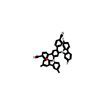 Cc1ccc2c(c1)c1cc(C)ccc1n2-c1cc(-n2c3cc(F)ccc3c3ccc(F)cc32)c(-c2ccc(C#N)cc2)cc1-c1ccc(C#N)cc1